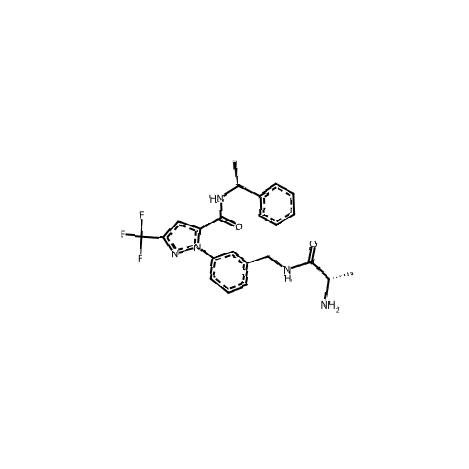 C[C@H](N)C(=O)NCc1cccc(-n2nc(C(F)(F)F)cc2C(=O)N[C@@H](C)c2ccccc2)c1